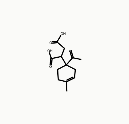 C=C(C)C1(C(CC(=O)O)C(=O)O)CC=C(C)CC1